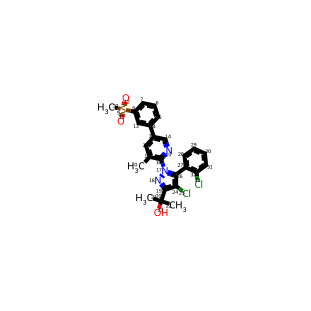 Cc1cc(-c2cccc(S(C)(=O)=O)c2)cnc1-n1nc(C(C)(C)O)c(Cl)c1-c1ccccc1Cl